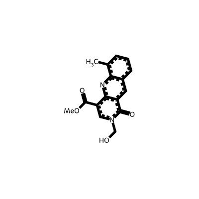 COC(=O)c1cn(CO)c(=O)c2cc3cccc(C)c3nc12